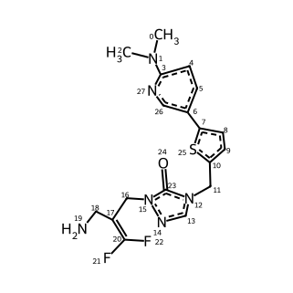 CN(C)c1ccc(-c2ccc(Cn3cnn(CC(CN)=C(F)F)c3=O)s2)cn1